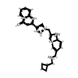 O=c1cc(-c2cn(CC3=CN4C=C(CNCC5CCC5)C=CC4N3)nn2)nc2ccccn12